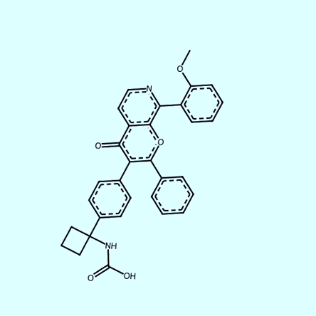 COc1ccccc1-c1nccc2c(=O)c(-c3ccc(C4(NC(=O)O)CCC4)cc3)c(-c3ccccc3)oc12